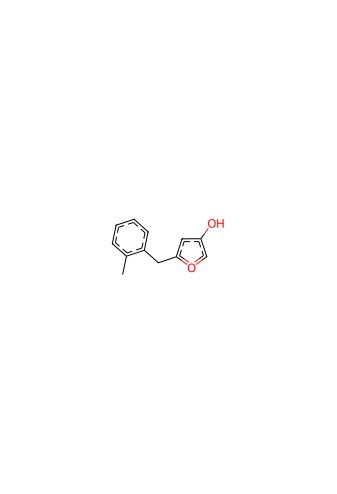 Cc1ccccc1Cc1cc(O)co1